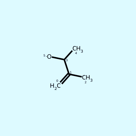 C=C(C)C(C)[O]